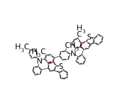 Cc1ccc(N(c2ccc(-c3ccc(N(c4ccc(C)cc4)c4ccccc4-c4ccc5sc6ccccc6c5c4)c(C)c3)cc2C)c2ccccc2-c2ccc3sc4ccccc4c3c2)cc1